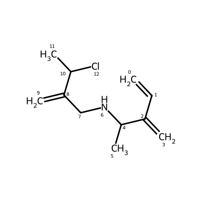 C=CC(=C)C(C)NCC(=C)C(C)Cl